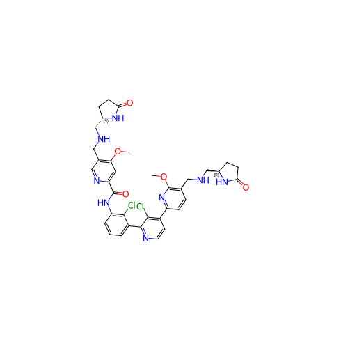 COc1cc(C(=O)Nc2cccc(-c3nccc(-c4ccc(CNC[C@H]5CCC(=O)N5)c(OC)n4)c3Cl)c2Cl)ncc1CNC[C@@H]1CCC(=O)N1